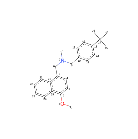 COc1ccc(CN(C)Cc2ccc(C(C)(C)C)cc2)c2ccccc12